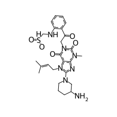 CC(C)=CCn1c(N2CCCC(N)C2)nc2c1c(=O)n(CC(=O)c1ccccc1NC[SH](=O)=O)c(=O)n2C